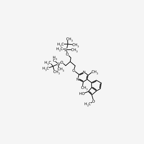 COC1=C(O)c2c1cccc2-c1c(C)nc(OCC(CO[Si](C)(C)C(C)(C)C)CO[Si](C)(C)C(C)(C)C)nc1C